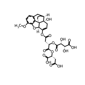 COc1ccc2c3c1O[C@@H]1C(OC(=O)C[C@H](OC(=O)[C@H](O)[C@@H](O)C(=O)O)C(=O)O[C@H](CC(=O)O)C(=O)O)=CC[C@]4(O)[C@@H](CCC[C@@]314)C2